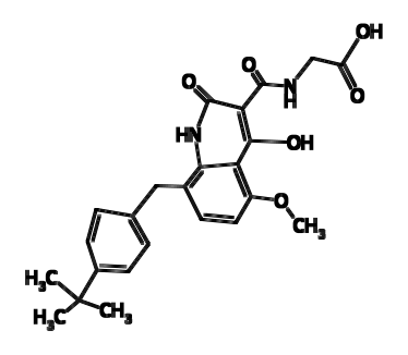 COc1ccc(Cc2ccc(C(C)(C)C)cc2)c2[nH]c(=O)c(C(=O)NCC(=O)O)c(O)c12